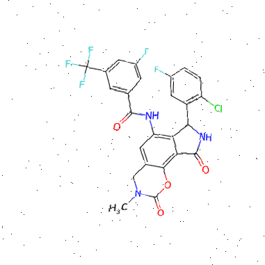 CN1Cc2cc(NC(=O)c3cc(F)cc(C(F)(F)F)c3)c3c(c2OC1=O)C(=O)NC3c1cc(F)ccc1Cl